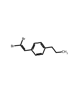 CCCc1ccc(C=C(Br)Br)cc1